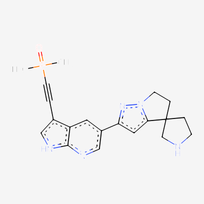 CP(C)(=O)C#Cc1c[nH]c2ncc(-c3cc4n(n3)CCC43CCNC3)cc12